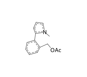 CC(=O)OCc1ccccc1-c1cccn1C